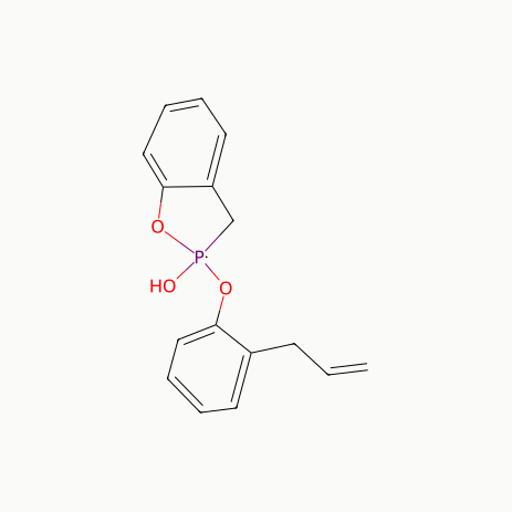 C=CCc1ccccc1O[P]1(O)Cc2ccccc2O1